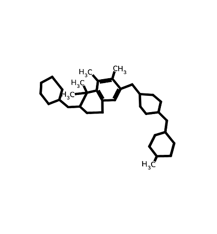 Cc1c(CC2CCC(CC3CCC(C)CC3)CC2)cc2c(c1C)C(C)(C)C(CC1CCCCC1)CC2